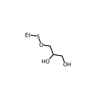 CCSOCC(O)CO